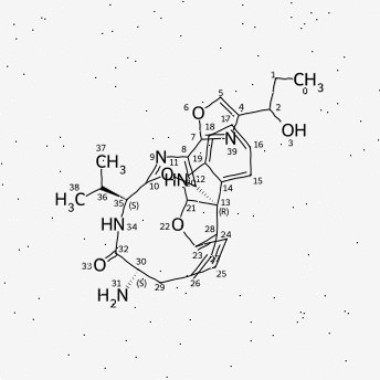 CCC(O)c1coc(-c2nc3oc2[C@@]24c5ccccc5NC2Oc2ccc(cc24)C[C@H](N)C(=O)N[C@H]3C(C)C)n1